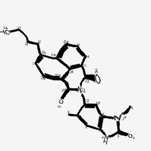 Cc1cc2[nH]c(=O)n(C)c2cc1N1C(=O)c2cccc3c(CCCO)ccc(c23)C1=O